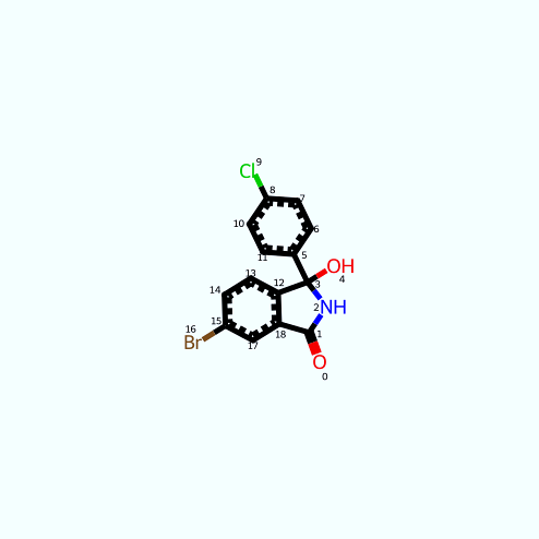 O=C1NC(O)(c2ccc(Cl)cc2)c2ccc(Br)cc21